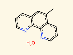 Cc1cc2cccnc2c2ncccc12.O